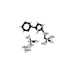 O=P(O)(O)CNc1ncc(-c2ccccc2)s1.O=[PH](O)O.[NaH].[NaH]